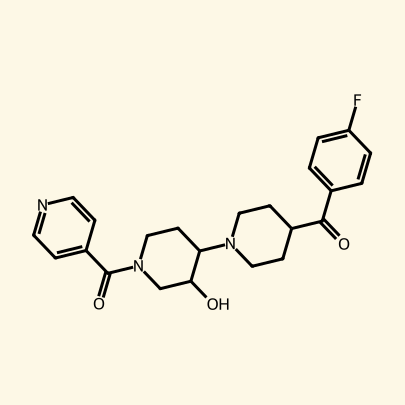 O=C(c1ccc(F)cc1)C1CCN(C2CCN(C(=O)c3ccncc3)CC2O)CC1